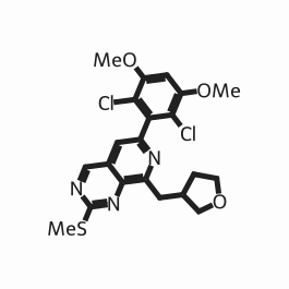 COc1cc(OC)c(Cl)c(-c2cc3cnc(SC)nc3c(CC3CCOC3)n2)c1Cl